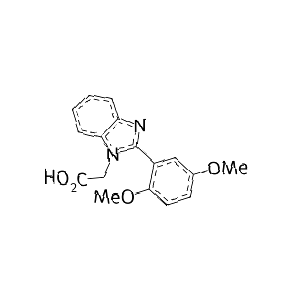 COc1ccc(OC)c(-c2nc3ccccc3n2CC(=O)O)c1